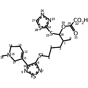 CC(CCCSc1nsnc1C1=CCCN(C)C1)C(OC(=O)C(=O)O)Sc1nncs1